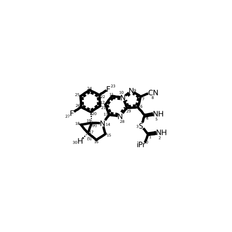 CC(C)C(=N)SC(=N)c1c(C#N)nn2ccc(N3CC[C@H]4C[C@]43c3cc(F)ccc3F)nc12